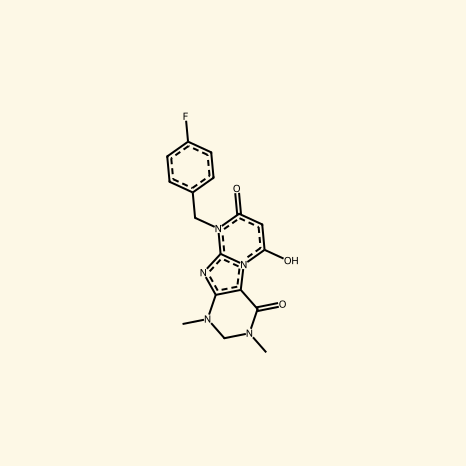 CN1CN(C)c2nc3n(Cc4ccc(F)cc4)c(=O)cc(O)n3c2C1=O